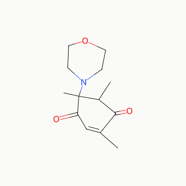 CC1=CC(=O)C(C)(N2CCOCC2)C(C)C1=O